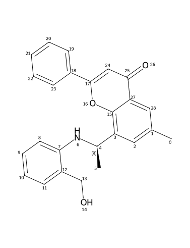 Cc1cc([C@@H](C)Nc2ccccc2CO)c2oc(-c3ccccc3)cc(=O)c2c1